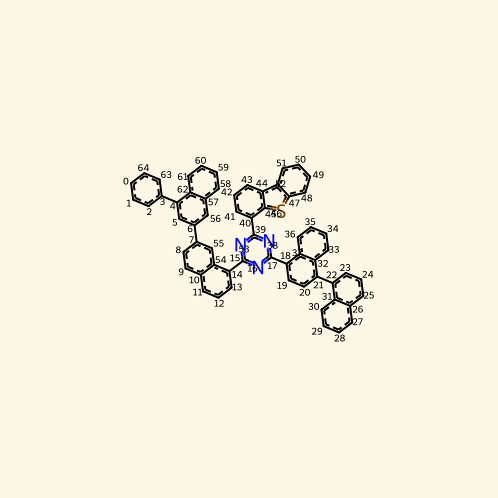 c1ccc(-c2cc(-c3ccc4cccc(-c5nc(-c6ccc(-c7cccc8ccccc78)c7ccccc67)nc(-c6cccc7c6sc6ccccc67)n5)c4c3)cc3ccccc23)cc1